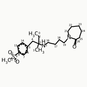 CCC(C)(Cc1ccc(S(C)(=O)=O)cc1)NCCCCN1CCCCCC1=O